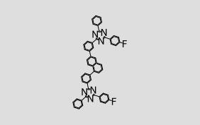 Fc1ccc(-c2nc(-c3ccccc3)nc(-c3cccc(-c4ccc5c(-c6cccc(-c7nc(-c8ccccc8)nc(-c8ccc(F)cc8)n7)c6)cccc5c4)c3)n2)cc1